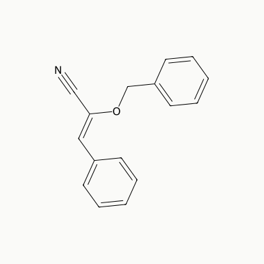 N#CC(=Cc1ccccc1)OCc1ccccc1